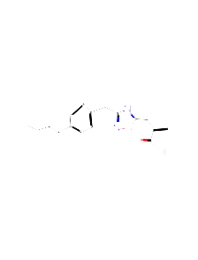 C=C(Cc1nc(Cc2ccc(CCCC)cc2)no1)C(=O)O